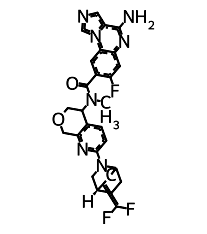 CN(C(=O)c1cc2c(cc1F)nc(N)c1cncn12)C1COCc2nc(N3C[C@H]4CCC3CC4=C(F)F)ccc21